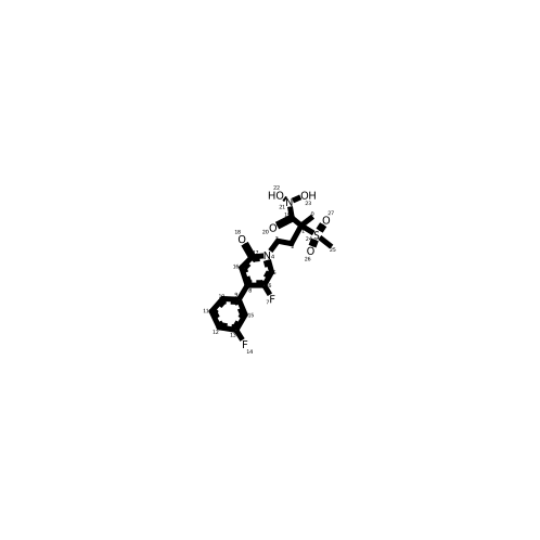 CC(CCn1cc(F)c(-c2cccc(F)c2)cc1=O)(C(=O)N(O)O)S(C)(=O)=O